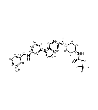 CC(C)(C)OC(=O)N[C@H]1CC[C@H](Nc2ncc3c(-c4ccnc(NCc5cccc(F)c5)n4)n[nH]c3n2)CC1